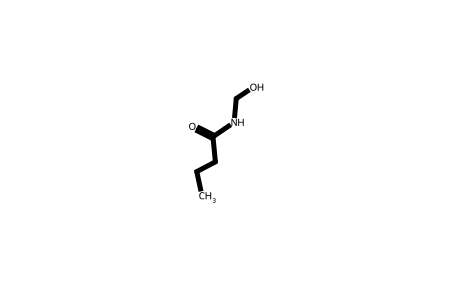 CCCC(=O)NCO